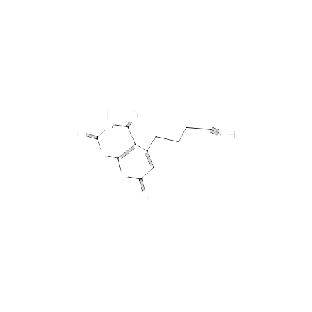 C#CCCCc1cc(=O)oc2[nH]c(=O)[nH]c(=O)c12